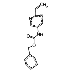 C=Cc1ncc(NC(=O)OCc2ccccc2)cn1